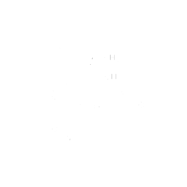 C(OCC1CO1)C1CO1.CC1=CC=CC(C)(O)C1